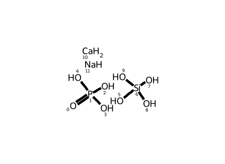 O=P(O)(O)O.O[Si](O)(O)O.[CaH2].[NaH]